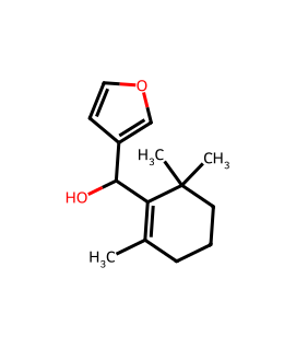 CC1=C(C(O)c2ccoc2)C(C)(C)CCC1